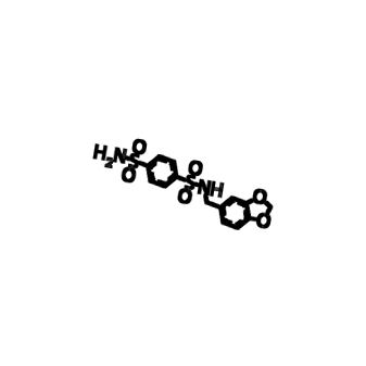 NS(=O)(=O)c1ccc(S(=O)(=O)NCc2ccc3c(c2)OCO3)cc1